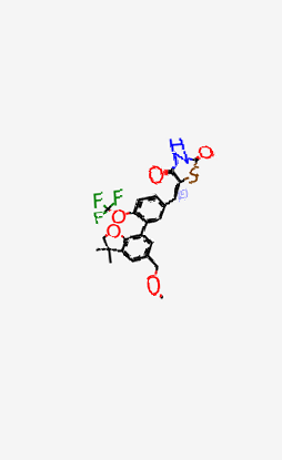 COCc1cc(-c2cc(/C=C3/SC(=O)NC3=O)ccc2OC(F)(F)F)c2c(c1)C(C)(C)CO2